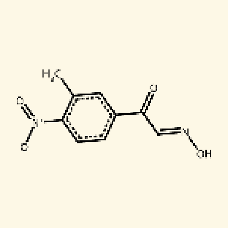 Cc1cc(C(=O)C=NO)ccc1[N+](=O)[O-]